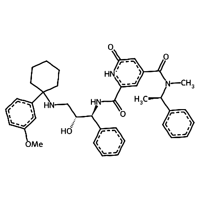 COc1cccc(C2(NC[C@@H](O)[C@@H](NC(=O)c3cc(C(=O)N(C)[C@H](C)c4ccccc4)cc(=O)[nH]3)c3ccccc3)CCCCC2)c1